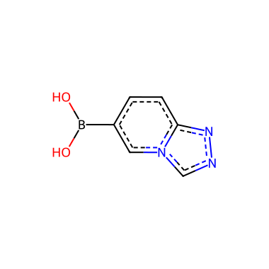 OB(O)c1ccc2nncn2c1